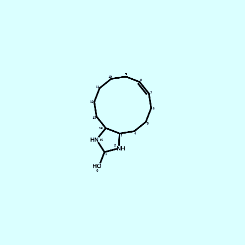 OC1NC2CCC/C=C\CCCCCC2N1